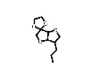 CCCC1COC2C1OCC21OCCO1